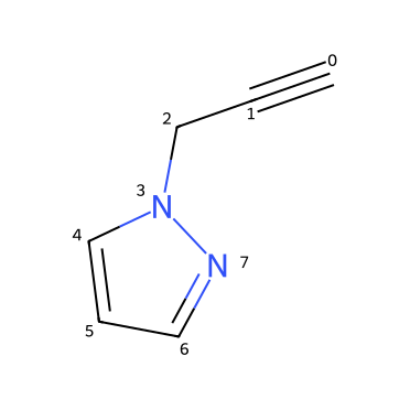 C#CCn1cccn1